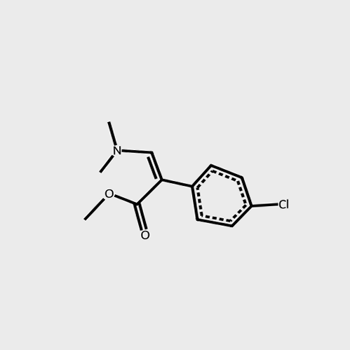 COC(=O)C(=CN(C)C)c1ccc(Cl)cc1